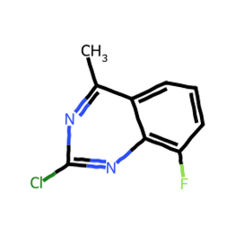 Cc1nc(Cl)nc2c(F)cccc12